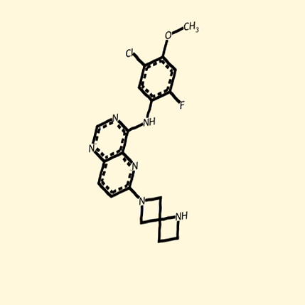 COc1cc(F)c(Nc2ncnc3ccc(N4CC5(CCN5)C4)nc23)cc1Cl